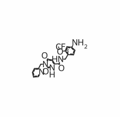 Nc1ccc(CNC(=O)c2cc(=O)n(Cc3ccccn3)c(=O)[nH]2)c(OC(F)(F)F)c1